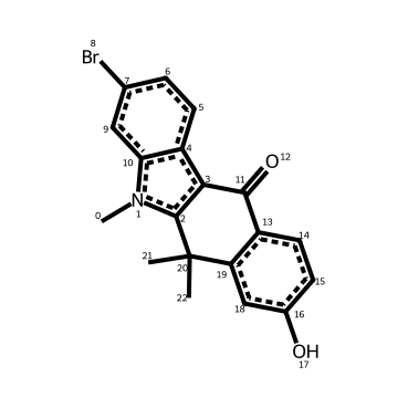 Cn1c2c(c3ccc(Br)cc31)C(=O)c1ccc(O)cc1C2(C)C